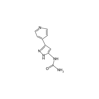 NC(=O)Nc1cc(-c2ccncc2)n[nH]1